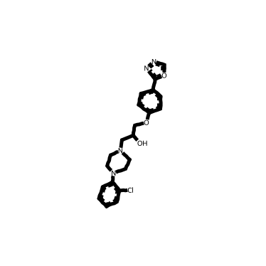 OC(COc1ccc(-c2nnco2)cc1)CN1CCN(c2ccccc2Cl)CC1